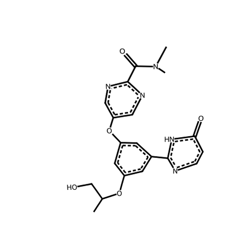 CC(CO)Oc1cc(Oc2cnc(C(=O)N(C)C)nc2)cc(-c2nccc(=O)[nH]2)c1